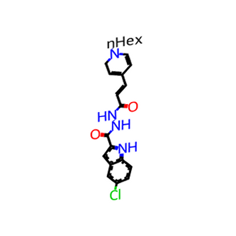 CCCCCCN1C=CC(/C=C/C(=O)NNC(=O)c2cc3cc(Cl)ccc3[nH]2)=CC1